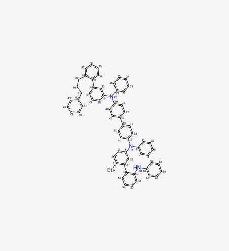 CCc1ccc(N(c2ccccc2)c2ccc(-c3ccc(N(c4ccccc4)c4ccc5c(c4)-c4ccccc4CCC5c4ccccc4)cc3)cc2)cc1-c1ccccc1Nc1ccccc1